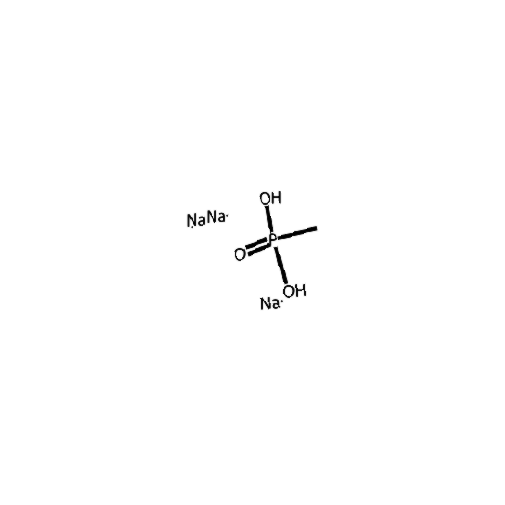 CP(=O)(O)O.[Na].[Na].[Na]